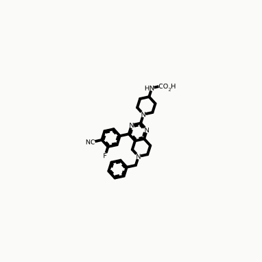 N#Cc1ccc(-c2nc(N3CCC(NC(=O)O)CC3)nc3c2CN(Cc2ccccc2)CC3)cc1F